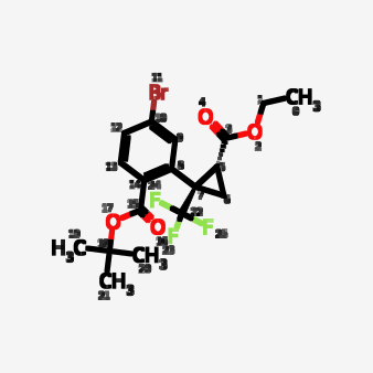 CCOC(=O)[C@@H]1C[C@@]1(c1cc(Br)ccc1C(=O)OC(C)(C)C)C(F)(F)F